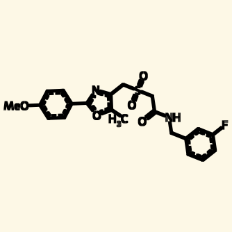 COc1ccc(-c2nc(CS(=O)(=O)CC(=O)NCc3cccc(F)c3)c(C)o2)cc1